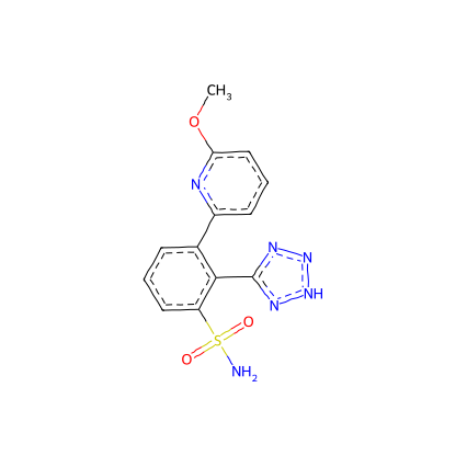 COc1cccc(-c2cccc(S(N)(=O)=O)c2-c2nn[nH]n2)n1